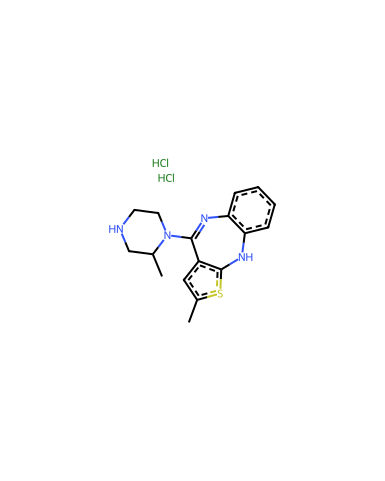 Cc1cc2c(s1)Nc1ccccc1N=C2N1CCNCC1C.Cl.Cl